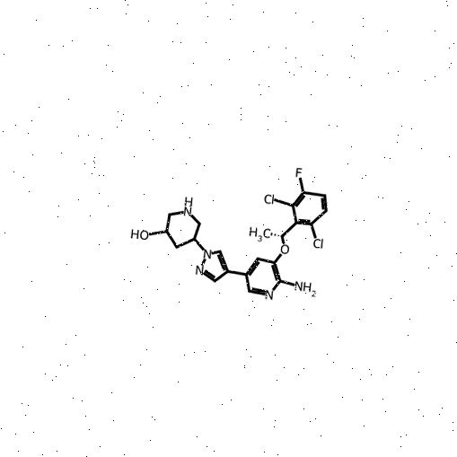 C[C@@H](Oc1cc(-c2cnn(C3CNCC(O)C3)c2)cnc1N)c1c(Cl)ccc(F)c1Cl